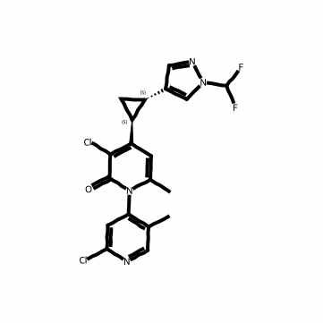 Cc1cnc(Cl)cc1-n1c(C)cc([C@H]2C[C@@H]2c2cnn(C(F)F)c2)c(Cl)c1=O